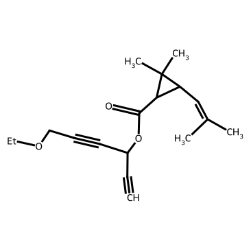 C#CC(C#CCOCC)OC(=O)C1C(C=C(C)C)C1(C)C